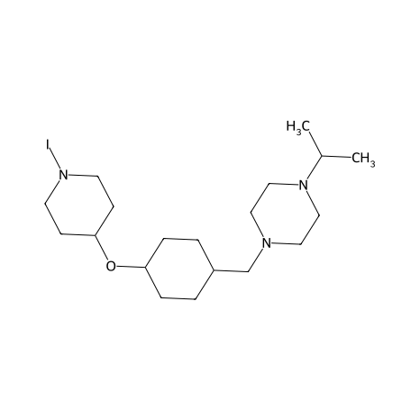 CC(C)N1CCN(CC2CCC(OC3CCN(I)CC3)CC2)CC1